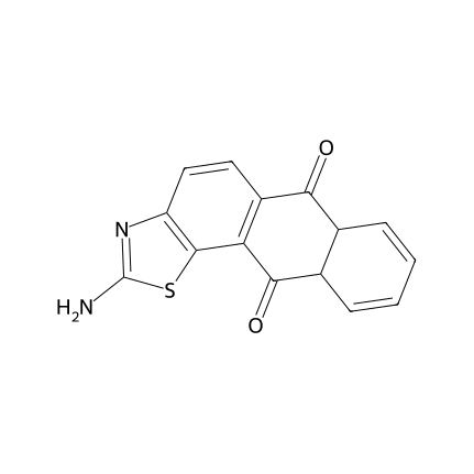 Nc1nc2ccc3c(c2s1)C(=O)C1C=CC=CC1C3=O